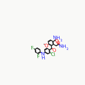 COc1ccc(C(N)=O)c(CC(N)=O)c1C(=O)c1ccc(Nc2ccc(F)cc2F)cc1Cl